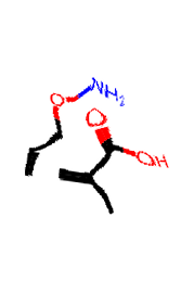 C=C(C)C(=O)O.C=CCON